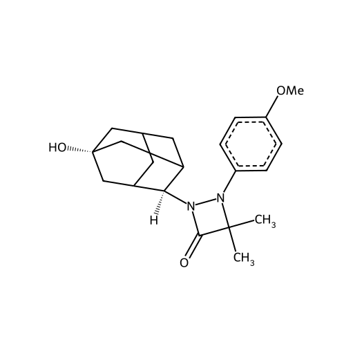 COc1ccc(N2N([C@H]3C4CC5CC3C[C@](O)(C5)C4)C(=O)C2(C)C)cc1